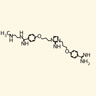 CNCCNC(=N)c1ccc(OCCCn2ccn(CCCOc3ccc(C(=N)N)cc3)c2=N)cc1